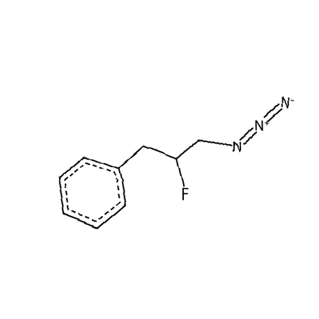 [N-]=[N+]=NCC(F)Cc1ccccc1